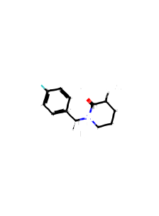 CC(=O)OC1CCCN([C@@H](C)c2ccc(F)cc2)C1=O